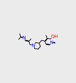 C=N/C=C\C(CC1CCCN(C/C(C)=C/N=C(C)C)C1)=C(\C)CO